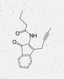 CC#CCC1=C(NC(=O)CCC)C(=O)c2ccccc21